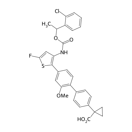 COc1cc(-c2sc(F)cc2NC(=O)OC(C)c2ccccc2Cl)ccc1-c1ccc(C2(C(=O)O)CC2)cc1